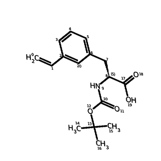 C=Cc1cccc(C[C@H](NC(=O)OC(C)(C)C)C(=O)O)c1